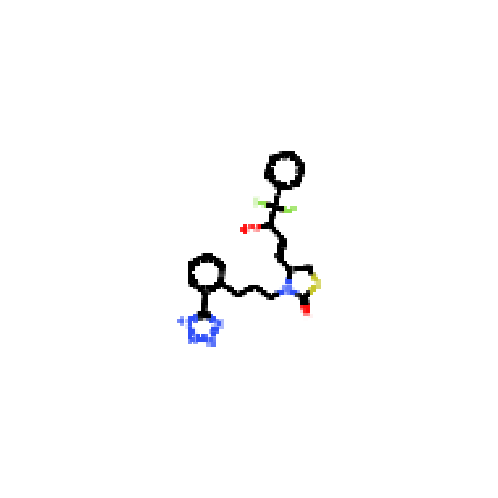 O=C1SCC(/C=C/C(O)C(F)(F)c2ccccc2)N1CCCc1ccccc1-c1nnn[nH]1